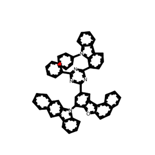 c1ccc(-c2nc(-c3cc(-n4c5ccccc5c5cc6ccccc6cc54)c4oc5ccc6ccccc6c5c4c3)nc(-c3cccc4c5ccccc5n(-c5ccccc5)c34)n2)cc1